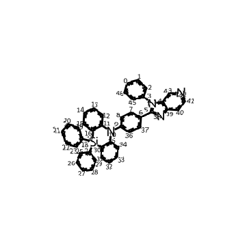 c1ccc(-n2c(-c3ccc(N4c5ccccc5[Si](c5ccccc5)(c5ccccc5)c5ccccc54)cc3)nc3ccncc32)cc1